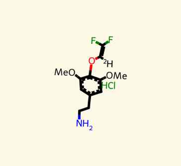 Cl.[2H]C(Oc1c(OC)cc(CCN)cc1OC)=C(F)F